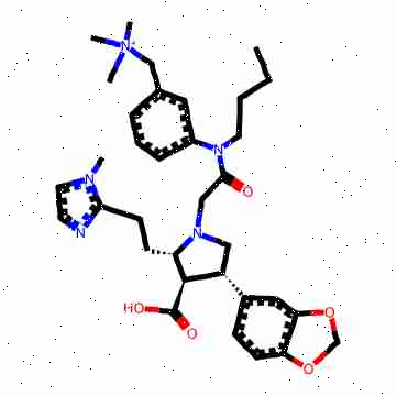 CCCCN(C(=O)CN1C[C@H](c2ccc3c(c2)OCO3)[C@@H](C(=O)O)[C@@H]1CCc1nccn1C)c1cccc(C[N+](C)(C)C)c1